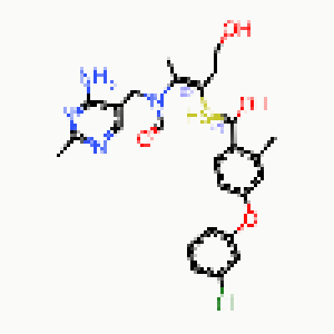 C/C(=C(CCO)/[SH]=C(\O)c1ccc(Oc2cccc(Cl)c2)cc1C)N(C=O)Cc1cnc(C)nc1N